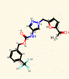 CC(=O)c1ccc(Cn2cc(NC(=O)OCc3cccc(C(F)(F)F)c3)cn2)o1